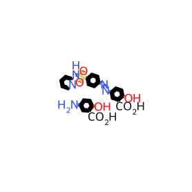 Nc1ccc(O)c(C(=O)O)c1.O=C(O)c1cc(/N=N/c2ccc(S(=O)(=O)Nc3ccccn3)cc2)ccc1O